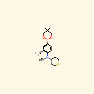 CCCN(c1ccc(B2OCC(C)(C)CO2)cc1[N+](=O)[O-])C1CCSCC1